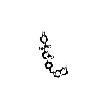 O=C(Nc1ccn(-c2ccc(CN3CCN4CCNCC4C3)cc2)c(=O)n1)N1CCNCC1